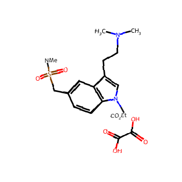 CCOC(=O)n1cc(CCN(C)C)c2cc(CS(=O)(=O)NC)ccc21.O=C(O)C(=O)O